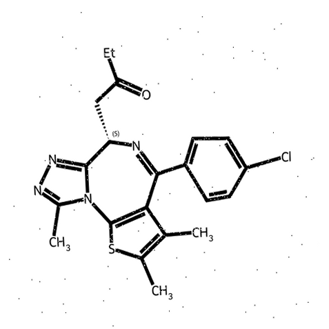 CCC(=O)C[C@@H]1N=C(c2ccc(Cl)cc2)c2c(sc(C)c2C)-n2c(C)nnc21